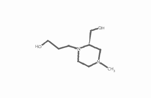 CN1CCN(CCCO)[C@@H](CO)C1